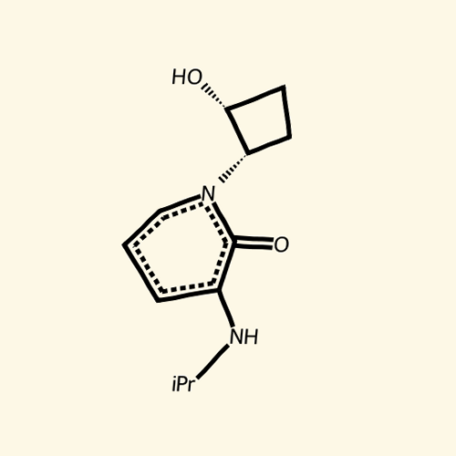 CC(C)Nc1cccn([C@H]2CC[C@H]2O)c1=O